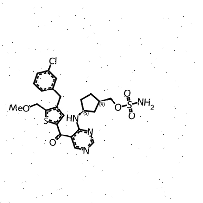 COCc1sc(C(=O)c2cncnc2N[C@H]2CC[C@@H](COS(N)(=O)=O)C2)cc1Cc1cccc(Cl)c1